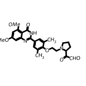 COc1cc(OC)c2c(=O)[nH]c(-c3cc(C)c(OCCN4CCCC4C(=O)C=O)c(C)c3)nc2c1